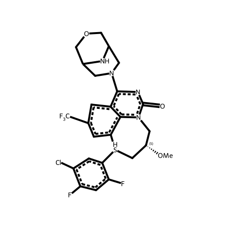 CO[C@H]1Cn2c(=O)nc(N3CC4COCC(C3)N4)c3cc(C(F)(F)F)cc(c32)[SH](c2cc(Cl)c(F)cc2F)C1